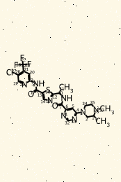 CC1CN(c2cc(C(=O)N[C@H](C)c3ncc(C(=O)Nc4cc(C(F)(F)F)c(Cl)cn4)s3)ncn2)CCN1C